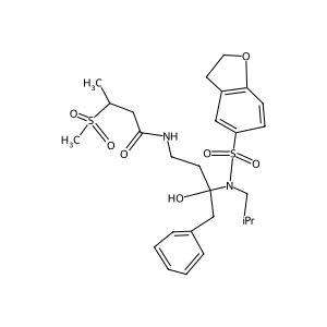 CC(C)CN(C(O)(CCNC(=O)CC(C)S(C)(=O)=O)Cc1ccccc1)S(=O)(=O)c1ccc2c(c1)CCO2